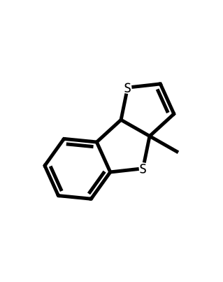 CC12C=CSC1c1ccccc1S2